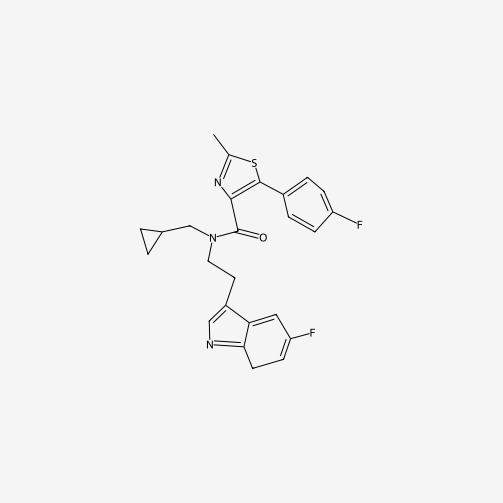 Cc1nc(C(=O)N(CCC2=CN=C3CC=C(F)C=C23)CC2CC2)c(-c2ccc(F)cc2)s1